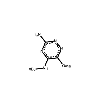 CCCCNc1nc(N)nnc1OC